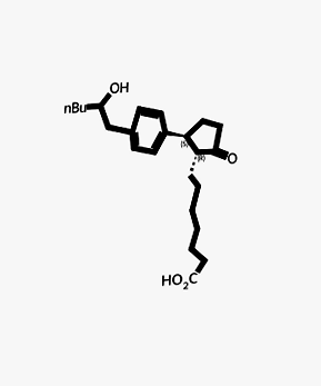 CCCCC(O)Cc1ccc([C@H]2CCC(=O)[C@@H]2CCCCCCC(=O)O)cc1